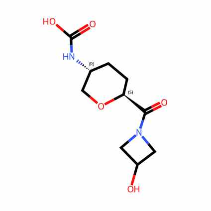 O=C(O)N[C@@H]1CC[C@@H](C(=O)N2CC(O)C2)OC1